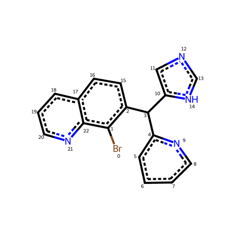 Brc1c(C(c2ccccn2)c2cnc[nH]2)ccc2cccnc12